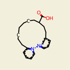 O=C(O)C1CCCCCCCc2cccc[n+]2-[n+]2cccc(c2)CC1